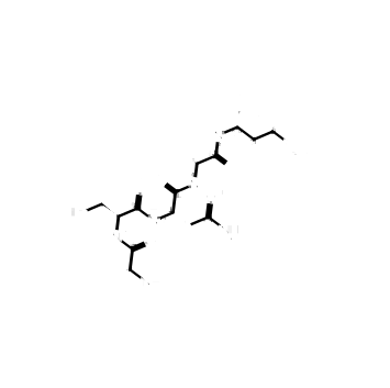 CC(C)C[C@H](NC(=O)CN)C(=O)N[C@@H](CC(N)=O)C(=O)NCC(=O)N[C@@H](CCC(=O)O)C(=O)O